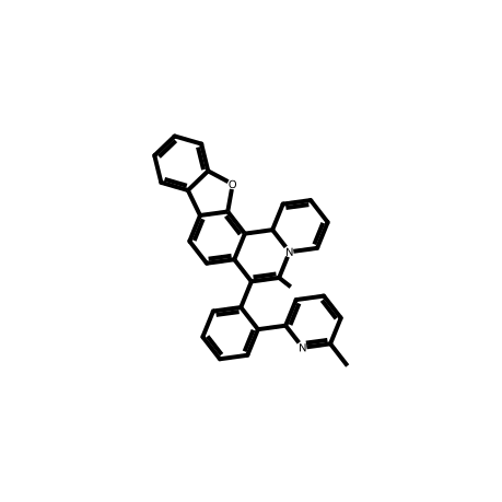 CC1=C(c2ccccc2-c2cccc(C)n2)c2ccc3c(oc4ccccc43)c2C2C=CC=CN12